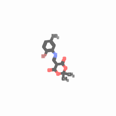 CC1(C)OC(=O)C(C=Nc2cc([N+](=O)[O-])ccc2Br)C(=O)O1